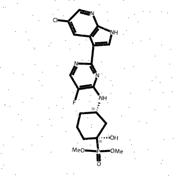 COP(=O)(OC)[C@@]1(O)CCC[C@H](Nc2nc(-c3c[nH]c4ncc(Cl)cc34)ncc2F)C1